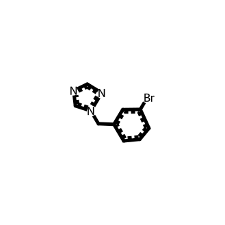 Brc1cccc(Cn2cncn2)c1